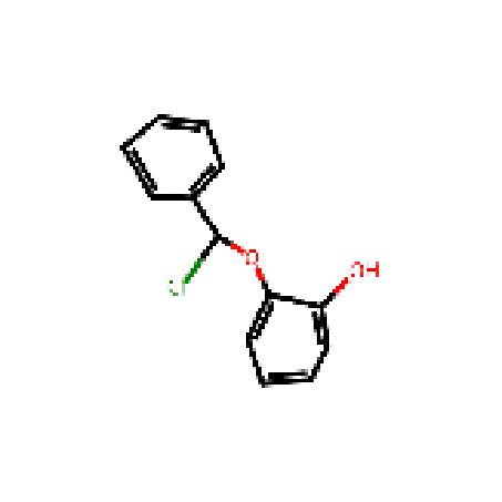 Oc1ccccc1OC(Cl)c1ccccc1